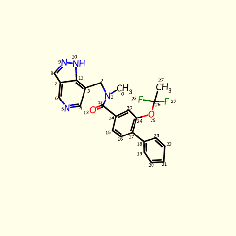 CN(Cc1cncc2cn[nH]c12)C(=O)c1ccc(-c2ccccc2)c(OC(C)(F)F)c1